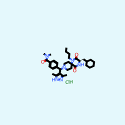 CCCCN1C(=O)[C@H](CC2CCCCC2)NC(=O)C12CCN(C(c1ccc(C(=O)N(C)C)cc1)c1c(C)n[nH]c1C)CC2.Cl